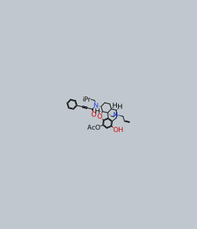 C=CCN1CC[C@]23c4c5c(O)cc(OC(C)=O)c4O[C@H]2[C@H](N(CC(C)C)C(=O)C#Cc2ccccc2)CC[C@H]3[C@H]1C5